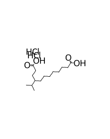 CC(C)C(CCCCCCCC(=O)O)CCC(=O)O.Cl.Cl